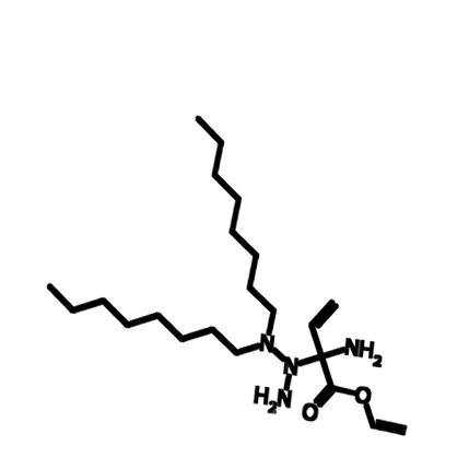 C=COC(=O)C(N)(C=C)N(N)N(CCCCCCCC)CCCCCCCC